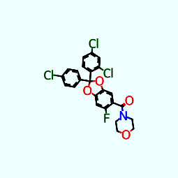 O=C(c1cc2c(cc1F)OC(c1ccc(Cl)cc1)(c1ccc(Cl)cc1Cl)O2)N1CCOCC1